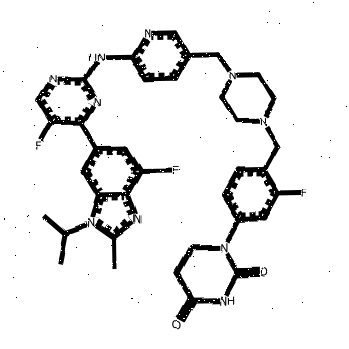 Cc1nc2c(F)cc(-c3nc(Nc4ccc(CN5CCN(Cc6ccc(N7CCC(=O)NC7=O)cc6F)CC5)cn4)ncc3F)cc2n1C(C)C